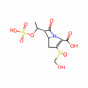 CC(OS(=O)(=O)O)C1C(=O)N2C(C(=O)O)=C([S+]([O-])CO)CC12